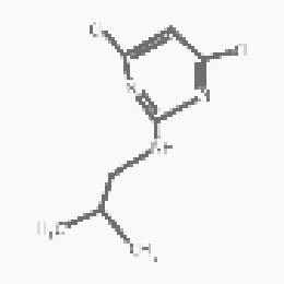 CC(C)CNc1nc(Cl)cc(Cl)n1